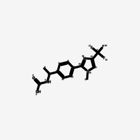 CC(NC(=O)O)c1ccc(-c2nc(C(F)(F)F)cn2C)cc1